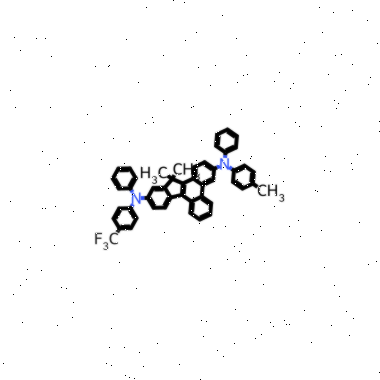 Cc1ccc(N(c2ccccc2)c2ccc3c4c(c5ccccc5c3c2)-c2ccc(N(c3ccccc3)c3ccc(C(F)(F)F)cc3)cc2C4(C)C)cc1